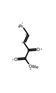 COC(=O)C(=O)C=CC(C)C